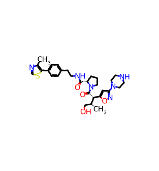 Cc1ncsc1-c1ccc(CCNC(=O)[C@@H]2CCCN2C(=O)[C@H](c2cc(N3CCNCC3)no2)[C@H](C)CO)cc1